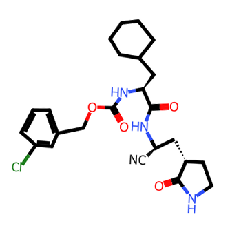 N#C[C@H](C[C@@H]1CCNC1=O)NC(=O)[C@H](CC1CCCCC1)NC(=O)OCc1cccc(Cl)c1